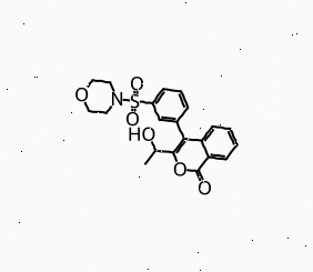 CC(O)c1oc(=O)c2ccccc2c1-c1cccc(S(=O)(=O)N2CCOCC2)c1